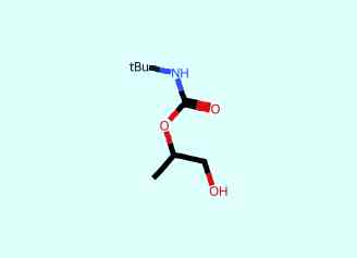 CC(CO)OC(=O)NC(C)(C)C